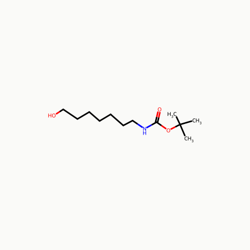 CC(C)(C)OC(=O)NCCCCCCCO